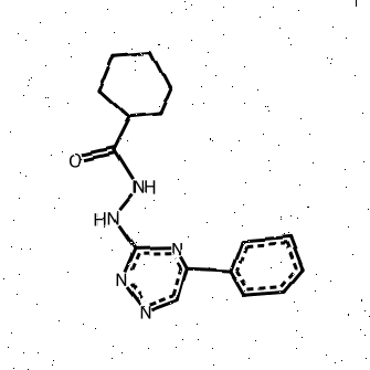 O=C(NNc1nncc(-c2ccccc2)n1)C1CCCCC1